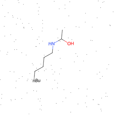 CCCCCCCCNC(C)O